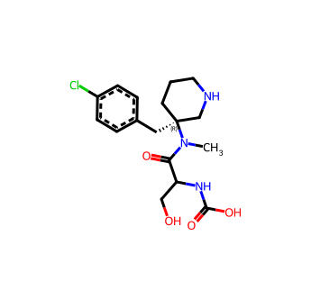 CN(C(=O)C(CO)NC(=O)O)[C@@]1(Cc2ccc(Cl)cc2)CCCNC1